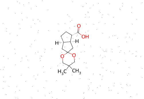 CC1(C)COC2(C[C@H]3CC[C@H](C(=O)O)[C@H]3C2)OC1